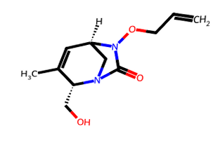 C=CCON1C(=O)N2C[C@H]1C=C(C)[C@H]2CO